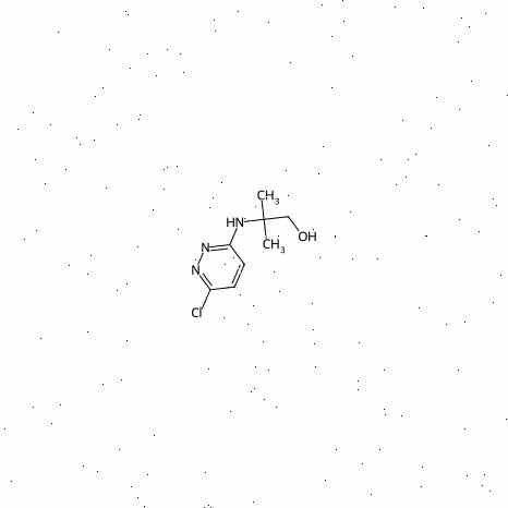 CC(C)(CO)Nc1ccc(Cl)nn1